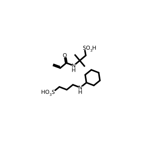 C=CC(=O)NC(C)(C)CS(=O)(=O)O.O=S(=O)(O)CCCNC1CCCCC1